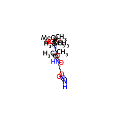 CO[C@H](C(C)OC(C)(C)C[C@H](C)/C=C/C=C(\C)[C@H]1O[C@@H](CNC(=O)CCCCCOC(=O)N2CCCNCC2)CC[C@@H]1C)[C@@H](C)O